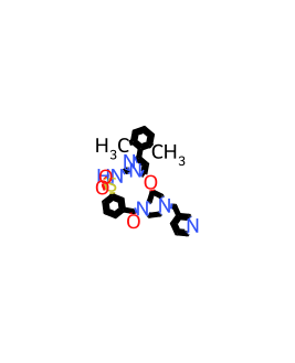 Cc1cccc(C)c1-c1cc2nc(n1)NS(=O)(=O)c1cccc(c1)C(=O)N1CCN(Cc3cccnc3)CC(C1)O2